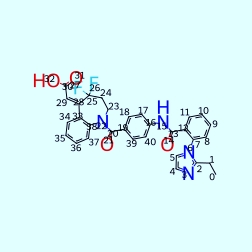 CCc1nccn1-c1ccccc1C(=O)Nc1ccc(C(=O)N2CCC(F)(F)/C(=C\C(=O)O)c3ccccc32)cc1